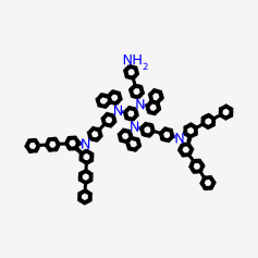 Nc1ccc(-c2ccc(N(c3cc(N(c4ccc(-c5ccc(-n6c7ccc(-c8ccc(-c9ccccc9)cc8)cc7c7cc(-c8ccc(-c9ccccc9)cc8)ccc76)cc5)cc4)c4cccc5ccccc45)cc(N(c4ccc(-c5ccc(-n6c7ccc(-c8ccc(-c9ccccc9)cc8)cc7c7cc(-c8ccc(-c9ccccc9)cc8)ccc76)cc5)cc4)c4cccc5ccccc45)c3)c3cccc4ccccc34)cc2)cc1